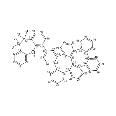 CC1(C)c2ccccc2Oc2c(-c3ccc4c(c3)c3cccc5c3-c3c(cccc3c3ccccc34)c3ccccc3c3ccccc53)cccc2C1(C)C